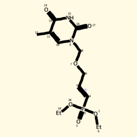 CCOP(=O)(/C=C/COCn1cc(C)c(=O)[nH]c1=O)OCC